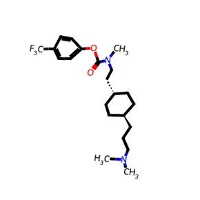 CN(C)CCC[C@H]1CC[C@H](CCN(C)C(=O)Oc2ccc(C(F)(F)F)cc2)CC1